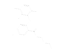 CCOCOC(=O)c1ccccc1Nc1c(Cl)ccc(C)c1Cl.Cl